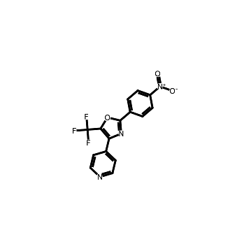 O=[N+]([O-])c1ccc(-c2nc(-c3ccncc3)c(C(F)(F)F)o2)cc1